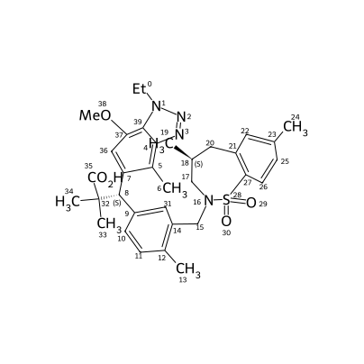 CCn1nnc2c(C)c([C@H](c3ccc(C)c(CN4C[C@@H](C)Cc5cc(C)ccc5S4(=O)=O)c3)C(C)(C)C(=O)O)cc(OC)c21